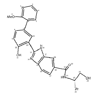 COc1ncccc1-c1ccc(O)c(-c2nc3ccc(C(=O)N[C@H](CO)C(C)C)cc3[nH]2)c1